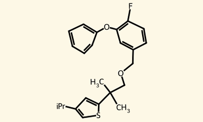 CC(C)c1csc(C(C)(C)COCc2ccc(F)c(Oc3ccccc3)c2)c1